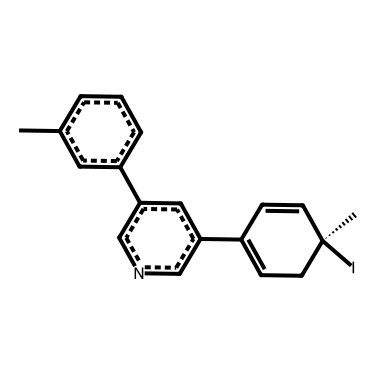 Cc1cccc(-c2cncc(C3=CC[C@](C)(I)C=C3)c2)c1